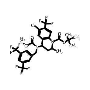 COC(=O)N(Cc1cc(C(F)(F)F)cc(C(F)(F)F)c1)C1CC(C)N(C(=O)OC(C)(C)C)c2cc(C(F)(F)F)c(Cl)cc21